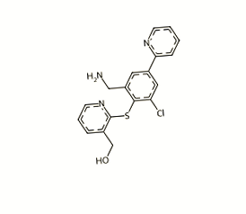 NCc1cc(-c2ccccn2)cc(Cl)c1Sc1ncccc1CO